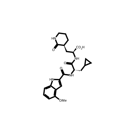 COc1cccc2[nH]c(C(=O)N[C@@H](CC3CC3)C(=O)N[C@@H](C[C@@H]3CCCNC3=O)C(=O)O)cc12